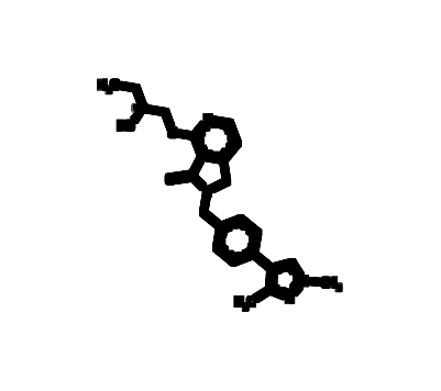 CC[C@H](O)COc1nccc2c1C(=O)N(Cc1ccc(-c3cn(C)nc3C)cc1)C2